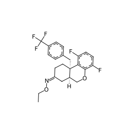 CCO/N=C1/CC[C@@]2(Cc3ccc(C(F)(F)F)cc3)c3c(F)ccc(F)c3OC[C@H]2C1